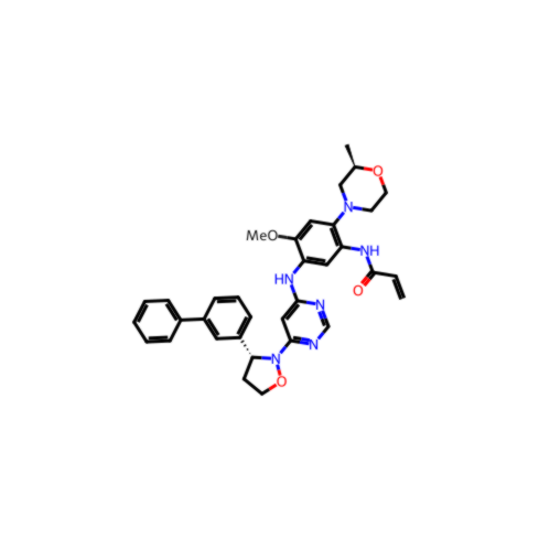 C=CC(=O)Nc1cc(Nc2cc(N3OCC[C@@H]3c3cccc(-c4ccccc4)c3)ncn2)c(OC)cc1N1CCO[C@H](C)C1